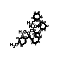 CO[C@@H](c1cccc2nc([C@H]3CCC[C@@H](c4ncccc4C)N3C)c(Cl)n12)C1CCN(C)CC1